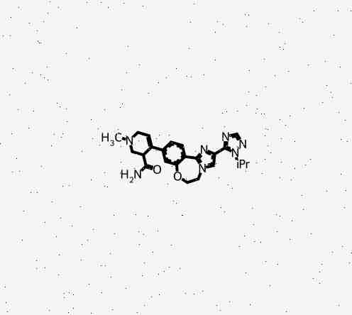 CC(C)n1ncnc1-c1cn2c(n1)-c1ccc(C3=CCN(C)CC3C(N)=O)cc1OCC2